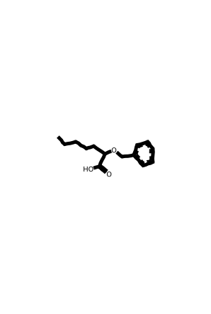 CCCCCC(OCc1ccccc1)C(=O)O